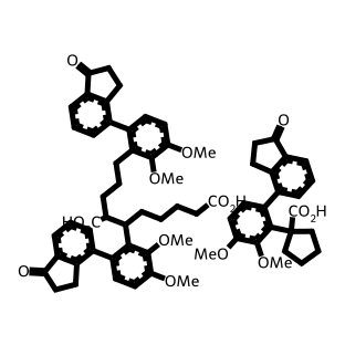 COc1ccc(-c2cccc3c2CCC3=O)c(C2(C(=O)O)CCCC2)c1OC.COc1ccc(-c2cccc3c2CCC3=O)c(CCCC(C(=O)O)C(CCCCC(=O)O)c2c(-c3cccc4c3CCC4=O)ccc(OC)c2OC)c1OC